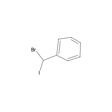 BrC(I)c1ccccc1